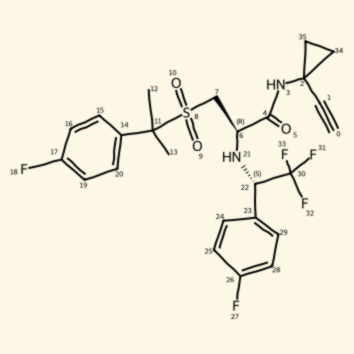 C#CC1(NC(=O)[C@H](CS(=O)(=O)C(C)(C)c2ccc(F)cc2)N[C@@H](c2ccc(F)cc2)C(F)(F)F)CC1